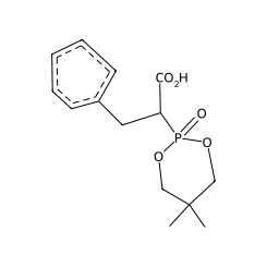 CC1(C)COP(=O)(C(Cc2ccccc2)C(=O)O)OC1